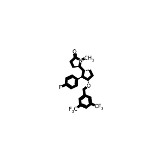 CN1C(=O)CC[C@@H]1[C@@H]1CC[C@H](OCc2cc(C(F)(F)F)cc(C(F)(F)F)c2)[C@H]1c1ccc(F)cc1